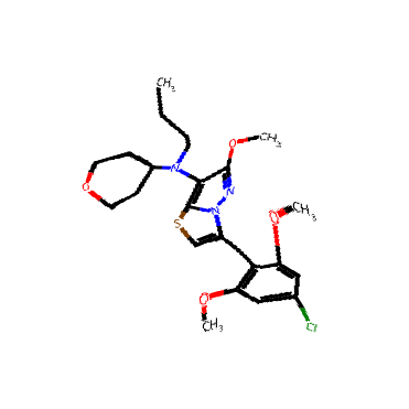 CCCN(c1c(OC)nn2c(-c3c(OC)cc(Cl)cc3OC)csc12)C1CCOCC1